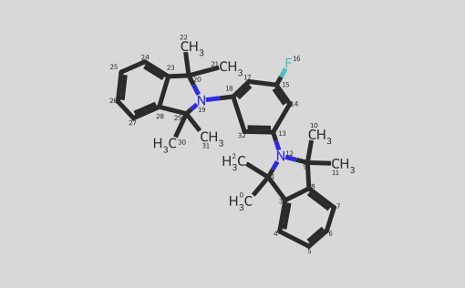 CC1(C)c2ccccc2C(C)(C)N1c1cc(F)cc(N2C(C)(C)c3ccccc3C2(C)C)c1